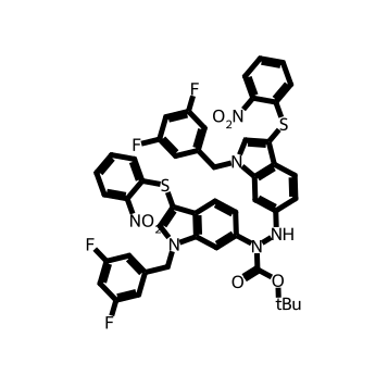 CC(C)(C)OC(=O)N(Nc1ccc2c(Sc3ccccc3[N+](=O)[O-])cn(Cc3cc(F)cc(F)c3)c2c1)c1ccc2c(Sc3ccccc3[N+](=O)[O-])cn(Cc3cc(F)cc(F)c3)c2c1